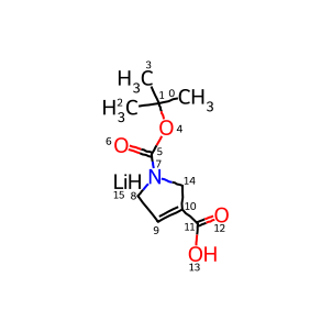 CC(C)(C)OC(=O)N1CC=C(C(=O)O)C1.[LiH]